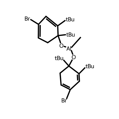 [CH3][Al]([O]C1(C(C)(C)C)CC=C(Br)C=C1C(C)(C)C)[O]C1(C(C)(C)C)CC=C(Br)C=C1C(C)(C)C